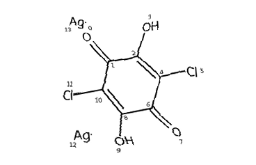 O=C1C(O)=C(Cl)C(=O)C(O)=C1Cl.[Ag].[Ag]